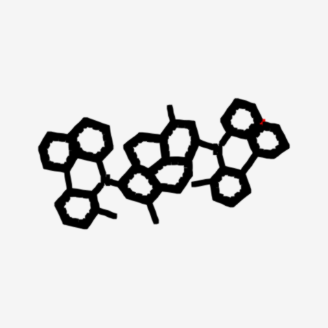 Cc1cccc(-c2ccccc2)c1N(c1ccccc1)c1cc(C)c2ccc3c(N(c4ccccc4)c4c(C)cccc4-c4ccccc4)cc(C)c4ccc1c2c43